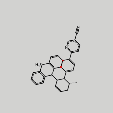 C[C@@H]1CC=CC(N2C3=C(C=CCC3)[SiH2]c3ccccc32)C1C1=CC=C(c2ccc(C#N)cn2)CC1